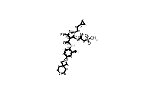 CCc1cc(N2CC3(CCOCC3)C2)ccc1NC(=O)c1c(CC)nn(CCC2CC2)c1NC(=O)CS(C)(=O)=O